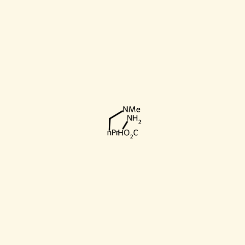 CCCCNC.NC(=O)O